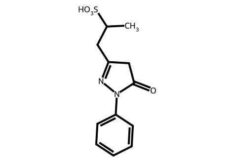 CC(CC1=NN(c2ccccc2)C(=O)C1)S(=O)(=O)O